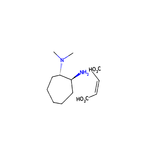 CN(C)[C@H]1CCCCC[C@@H]1N.O=C(O)/C=C\C(=O)O